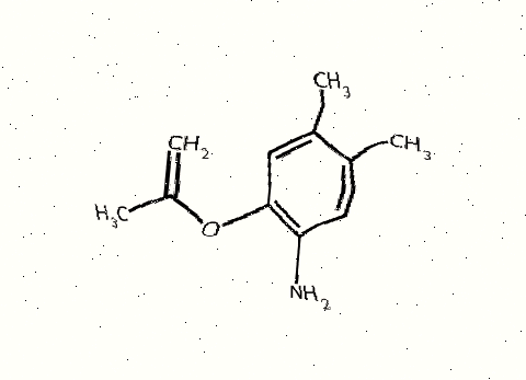 C=C(C)Oc1cc(C)c(C)cc1N